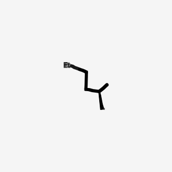 [CH2][C@H](C)CCCC